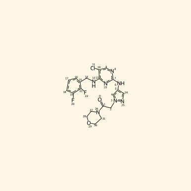 O=C(Cn1cc(Nc2ncc(Cl)c(NCc3cccc(F)c3F)n2)cn1)N1CCOCC1